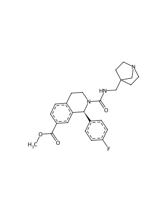 COC(=O)c1ccc2c(c1)[C@H](c1ccc(F)cc1)N(C(=O)NCC13CCN(CC1)C3)CC2